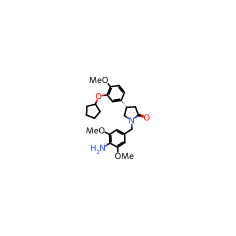 COc1ccc([C@@H]2CC(=O)N(Cc3cc(OC)c(N)c(OC)c3)C2)cc1OC1CCCC1